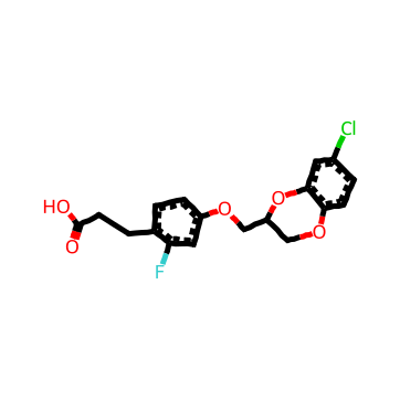 O=C(O)CCc1ccc(OCC2COc3ccc(Cl)cc3O2)cc1F